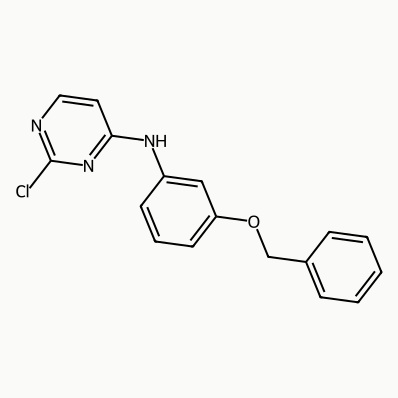 Clc1nccc(Nc2cccc(OCc3ccccc3)c2)n1